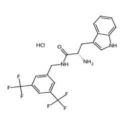 Cl.N[C@@H](Cc1c[nH]c2ccccc12)C(=O)NCc1cc(C(F)(F)F)cc(C(F)(F)F)c1